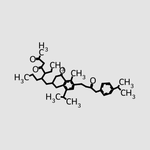 CCCC(CC1CC(=O)c2c(C)c(CCC(=O)Cc3ccc(C(C)C)cc3)cc(C(C)C)c2C1)C(CC)C(=O)CC(C)=O